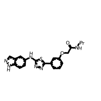 CC(C)NC(=O)COc1cccc(-c2nnc(Nc3ccc4[nH]ncc4c3)s2)c1